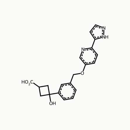 O=C(O)C1CC(O)(c2cccc(COc3ccc(-c4ccn[nH]4)nc3)c2)C1